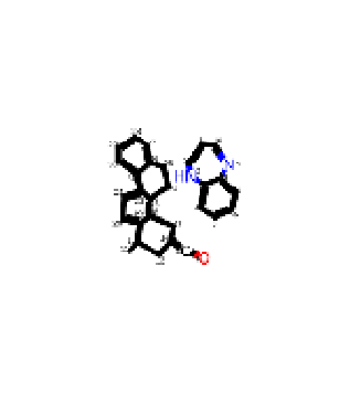 C1=CNc2ccccc2N=C1.CC1CC(=C=O)Cc2c1ccc1c2CCc2ccccc2-1